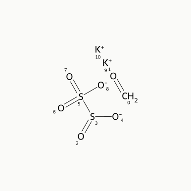 C=O.O=S([O-])S(=O)(=O)[O-].[K+].[K+]